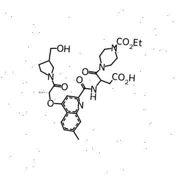 CCOC(=O)N1CCN(C(=O)C(CC(=O)O)NC(=O)c2cc(O[C@H](C)C(=O)N3CCC(CO)C3)c3ccc(C)cc3n2)CC1